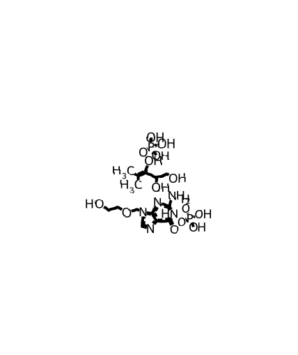 CC(C)=C(O)C(O)CO.Nc1nc2c(ncn2COCCO)c(=O)[nH]1.O=P(O)(O)O.O=P(O)(O)O